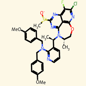 COc1ccc(CN(Cc2ccc(OC)cc2)c2ncccc2[C@@H](C)N2c3nc([S+](C)[O-])nc4c(F)c(Cl)nc(c34)OC[C@@H]2C)cc1